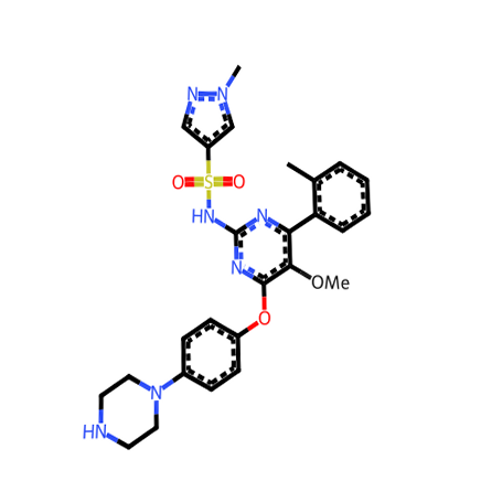 COc1c(Oc2ccc(N3CCNCC3)cc2)nc(NS(=O)(=O)c2cnn(C)c2)nc1-c1ccccc1C